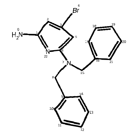 Nc1cc(Br)cc(N(Cc2ccccc2)Cc2ccccc2)n1